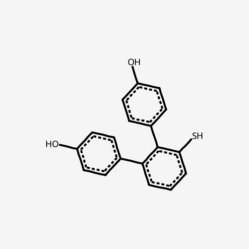 Oc1ccc(-c2cccc(S)c2-c2ccc(O)cc2)cc1